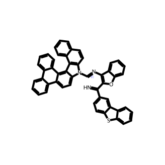 N=C(c1ccc2sc3ccccc3c2c1)c1oc2ccccc2c1/N=C/n1c2ccc3ccccc3c2c2c3c4ccccc4c4ccccc4c3ccc21